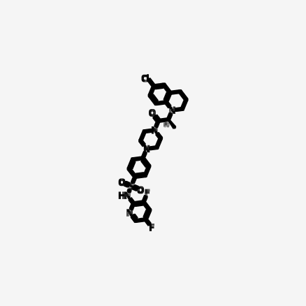 C[C@@H](C(=O)N1CCN(c2ccc(S(=O)(=O)Nc3ncc(F)cc3F)cc2)CC1)N1CCCc2cc(Cl)ccc21